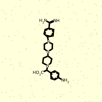 N=C(N)c1ccc(N2CCN(C3CCN(C(C(=O)O)c4ccc(N)cc4)CC3)CC2)cc1